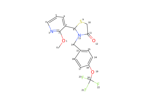 COc1ncccc1C1SCC(=O)N1Cc1ccc(OC(F)(F)F)cc1